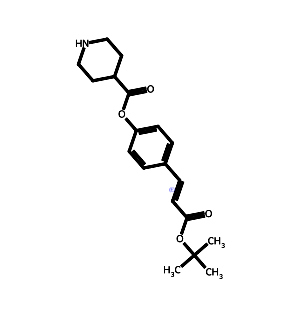 CC(C)(C)OC(=O)/C=C/c1ccc(OC(=O)C2CCNCC2)cc1